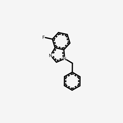 Fc1cccc2c1ncn2Cc1ccccc1